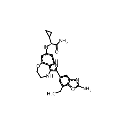 CCc1cc(-c2[nH]c3cc(N[C@H](C(N)=O)C4CC4)cc4c3c2NCCO4)cc2nc(N)oc12